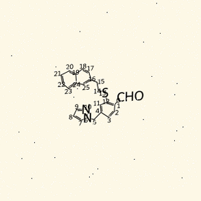 O=Cc1ccc(Cn2cccn2)cc1SCCc1ccc2ccccc2c1